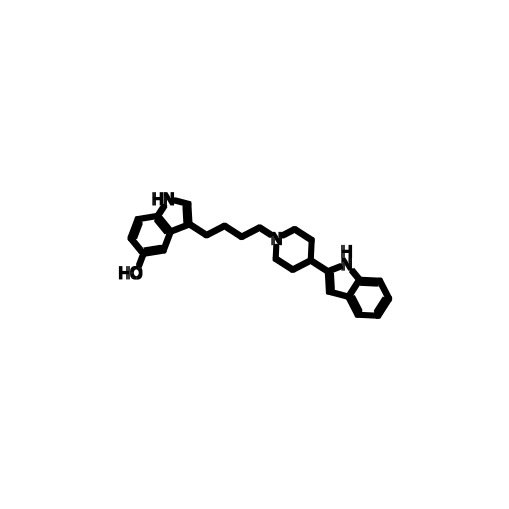 Oc1ccc2[nH]cc(CCCCN3CCC(c4cc5ccccc5[nH]4)CC3)c2c1